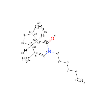 CCCCCCN1C=C(C)[C@H]2CC[C@H](C)[C@H]2C1=O